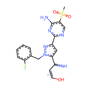 CS(=O)(=O)c1cnc(-c2cc(C(=N)/C=C\O)n(Cc3ccccc3F)n2)nc1N